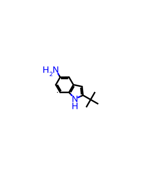 CC(C)(C)c1cc2cc(N)c[c]c2[nH]1